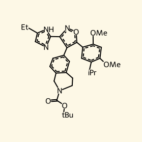 CCc1cnc(-c2noc(-c3cc(C(C)C)c(OC)cc3OC)c2-c2ccc3c(c2)CCN(C(=O)OC(C)(C)C)C3)[nH]1